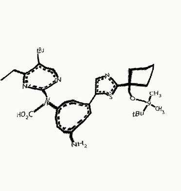 CC(C)(C)c1cnc(N(C(=O)O)c2cc(N)cc(-c3cnc(C4(O[Si](C)(C)C(C)(C)C)CCC4)s3)c2)nc1CF